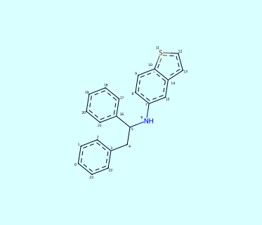 c1ccc(CC(Nc2ccc3sccc3c2)c2ccccc2)cc1